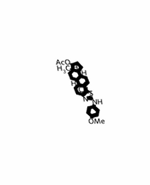 COc1ccc(Nc2nc3c(s2)C2=CC[C@H]4[C@@H]5CC[C@H](OC(C)=O)[C@@]5(C)CC[C@@H]4[C@@]2(C)CC3)cc1